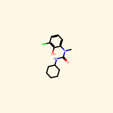 CN(C(=O)NC1CCCCC1)c1cccc(Cl)c1O